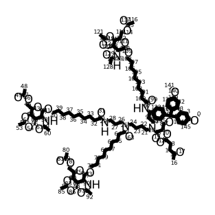 COc1ccc(C(OCC(OC(=O)CCC(C)=O)C(=O)N(CCCCN(CCCNC(=O)CCCCCCCCCO[C@@H]2OC(COC(C)=O)[C@H](OC(C)=O)[C@H](C)C2NC(C)=O)C(=O)CCCCCCCCCO[C@@H]2OC(COC(C)=O)[C@H](OC(C)=O)[C@H](C)C2NC(C)=O)CCCNC(=O)CCCCCCCCCO[C@@H]2OC(COC(C)=O)[C@H](OC(C)=O)[C@H](C)C2NC(C)=O)(c2ccccc2)c2ccc(OC)cc2)cc1